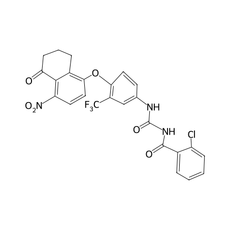 O=C(NC(=O)c1ccccc1Cl)Nc1ccc(Oc2ccc([N+](=O)[O-])c3c2CCCC3=O)c(C(F)(F)F)c1